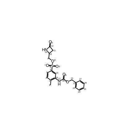 Cc1ccc(S(=O)(=O)OCC2CC(=O)N2)cc1NC(=O)OCc1ccccc1